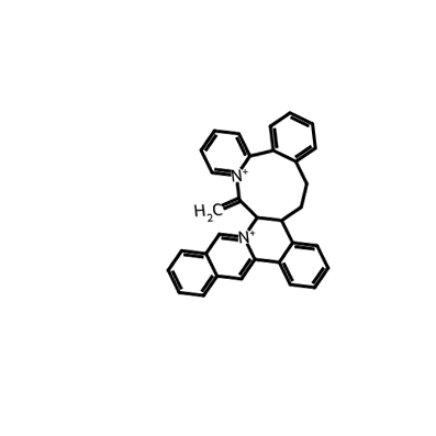 C=C1C2C(CCc3ccccc3-c3cccc[n+]31)c1ccccc1-c1cc3ccccc3c[n+]12